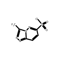 O=S(=O)(Cl)c1ccc2nnc(C(F)(F)F)n2n1